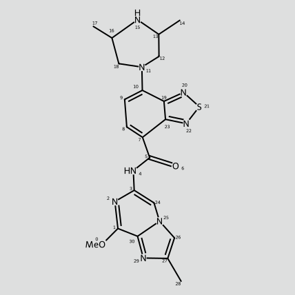 COc1nc(NC(=O)c2ccc(N3CC(C)NC(C)C3)c3nsnc23)cn2cc(C)nc12